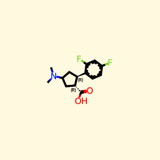 CN(C)C1C[C@@H](C(=O)O)[C@H](c2ccc(F)cc2F)C1